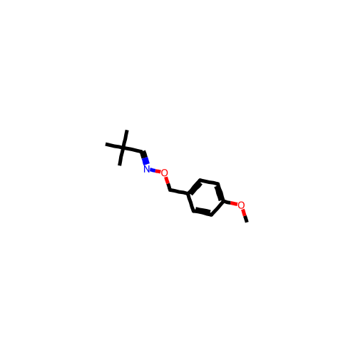 COc1ccc(CON=CC(C)(C)C)cc1